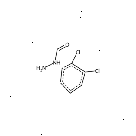 Clc1ccccc1Cl.NNC=O